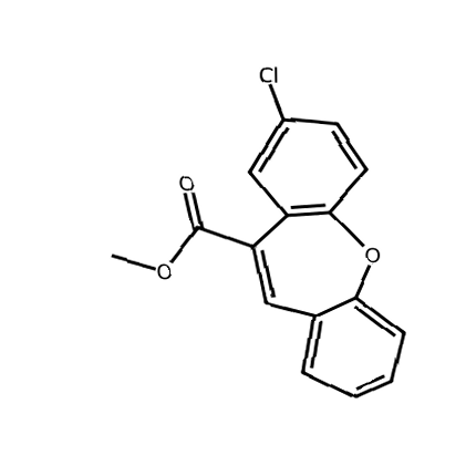 COC(=O)C1=Cc2ccccc2Oc2ccc(Cl)cc21